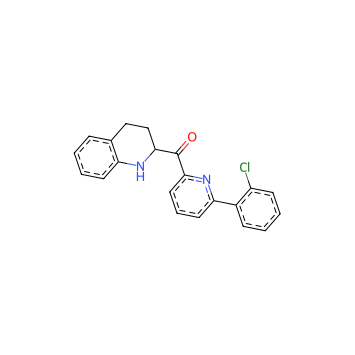 O=C(c1cccc(-c2ccccc2Cl)n1)C1CCc2ccccc2N1